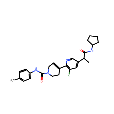 CC(C(=O)NC1CCCC1)c1cnc(C2=CCN(C(=O)Nc3ccc(C(F)(F)F)cc3)CC2)c(Cl)c1